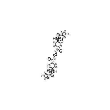 O=C(CSSCC(=O)c1ccc(NS(=O)(=O)c2nccs2)cc1)c1ccc(NS(=O)(=O)c2nccs2)cc1